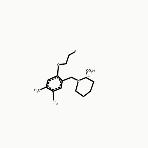 Cc1cc(OCCF)c(CN2CCCC[C@H]2C(=O)O)cc1C(F)(F)F